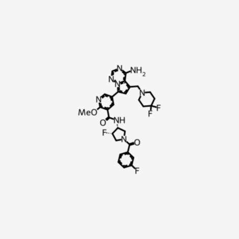 COc1ncc(-c2cc(CN3CCC(F)(F)CC3)c3c(N)ncnn23)cc1C(=O)N[C@@H]1CN(C(=O)c2cccc(F)c2)C[C@@H]1F